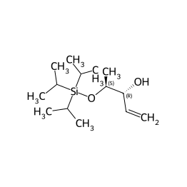 C=C[C@@H](O)[C@H](C)O[Si](C(C)C)(C(C)C)C(C)C